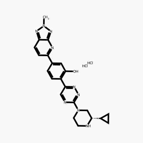 Cl.Cl.Cn1nc2ccc(-c3ccc(-c4cnc(N5CCN[C@@H](C6CC6)C5)nn4)c(O)c3)nc2n1